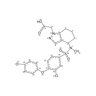 CN(C1CCCc2c1cnn2CC(=O)O)S(=O)(=O)c1ccc(Oc2ccc(Cl)cc2)c(Cl)c1